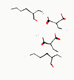 CCC(C(C)=O)C(=O)[O-].CCC(C(C)=O)C(=O)[O-].CCCCC(CC)C[O-].CCCCC(CC)C[O-].[Zr+4]